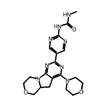 CNC(=O)Nc1ncc(-c2nc(N3CCOCC3)c3c(n2)N2CCOCC2C3)cn1